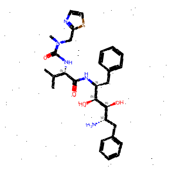 CC(C)[C@H](NC(=O)N(C)Cc1nccs1)C(=O)N[C@@H](Cc1ccccc1)[C@H](O)[C@@H](O)[C@@H](N)Cc1ccccc1